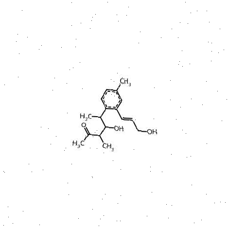 CC(=O)C(C)C(O)C(C)c1ccc(C)cc1/C=C/CO